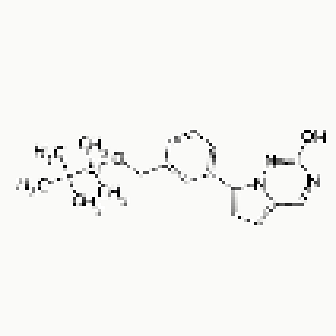 CC(C)(C)[Si](C)(C)OCc1cccc(-c2ccc3cnc(O)nn23)c1